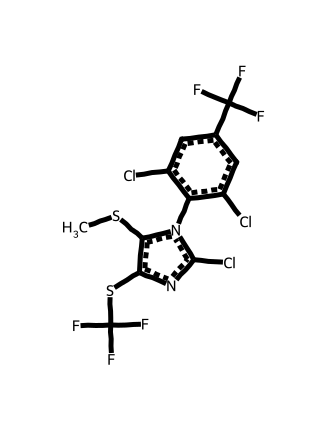 CSc1c(SC(F)(F)F)nc(Cl)n1-c1c(Cl)cc(C(F)(F)F)cc1Cl